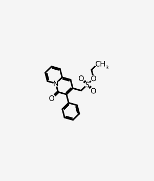 CCOS(=O)(=O)Cc1cc2ccccn2c(=O)c1-c1ccccc1